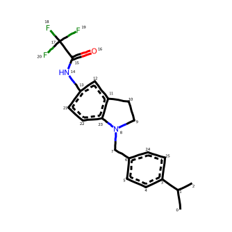 CC(C)c1ccc(CN2CCc3cc(NC(=O)C(F)(F)F)ccc32)cc1